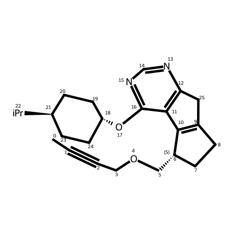 CC#CCOC[C@H]1CCC2=C1c1c(ncnc1O[C@H]1CC[C@H](C(C)C)CC1)C2